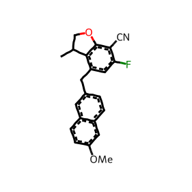 COc1ccc2cc(Cc3cc(F)c(C#N)c4c3C(C)CO4)ccc2c1